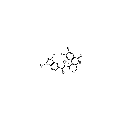 CN(C(=O)c1ccc2c(c1)c(Cl)nn2C)C1COCc2[nH]c(=O)c3cc(F)c(F)cc3c21